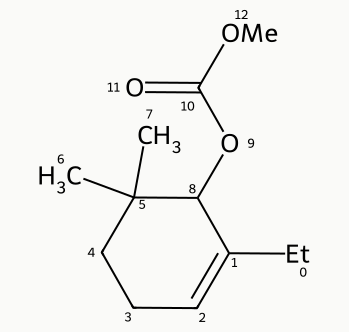 CCC1=CCCC(C)(C)C1OC(=O)OC